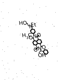 CCN(CCO)c1ccc(N2C(=O)c3ccc4c5c(ccc(c35)C2=O)C(=O)N(C(CO)c2ccccc2)C4=O)c(C)c1